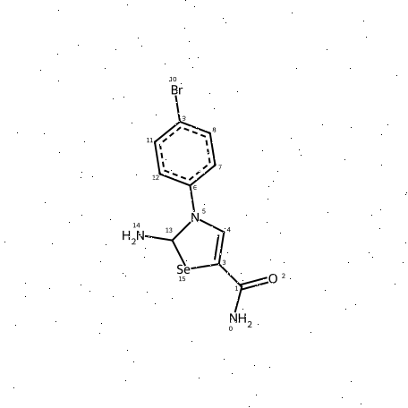 NC(=O)C1=CN(c2ccc(Br)cc2)C(N)[Se]1